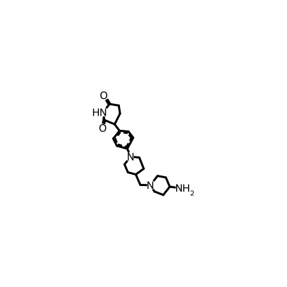 NC1CCN(CC2CCN(c3ccc(C4CCC(=O)NC4=O)cc3)CC2)CC1